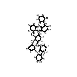 c1cc2c3c(c1)-n1c4ccccc4c4cccc(c41)B3c1ccc3c(c1O2)Oc1cccc2c1B3c1cccc3c4ccccc4n-2c13